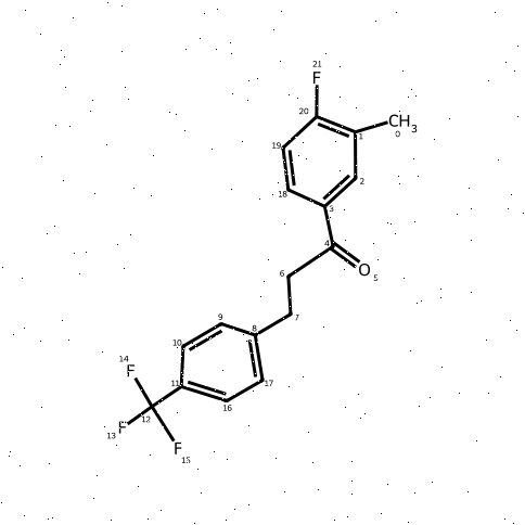 Cc1cc(C(=O)CCc2ccc(C(F)(F)F)cc2)ccc1F